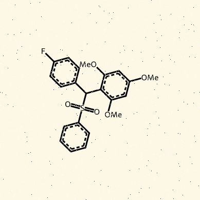 COc1cc(OC)c(C(c2ccc(F)cc2)S(=O)(=O)c2ccccc2)c(OC)c1